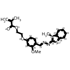 C=C(C)C(=O)OCCOc1ccc(C=NN=c2sc3ccccc3n2C)c(OC)c1